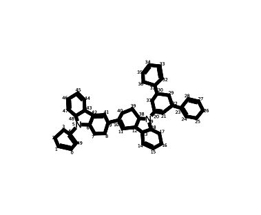 C1=CCCC(N2C3CCC(C4=CC5C6C=CCCC6N(C6=CC(C7=CCCC=C7)CC(C7C=CC=CC7)C6)C5CC4)C=C3C3C=CC=CC32)=C1